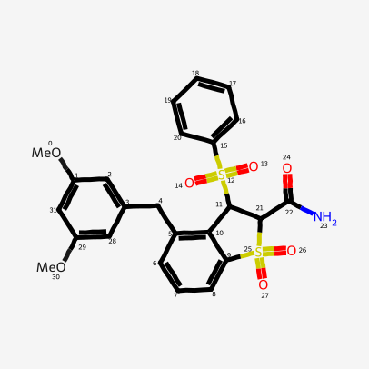 COc1cc(Cc2cccc3c2C(S(=O)(=O)c2ccccc2)C(C(N)=O)S3(=O)=O)cc(OC)c1